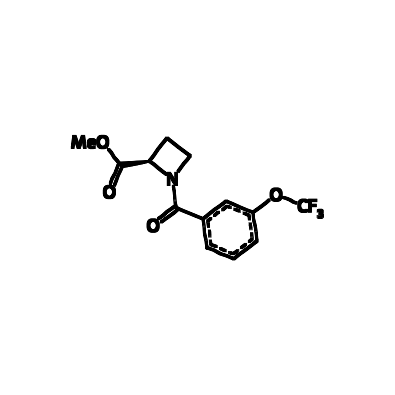 COC(=O)[C@H]1CCN1C(=O)c1cccc(OC(F)(F)F)c1